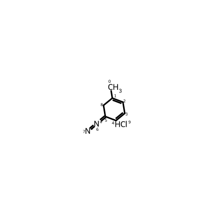 CC1=CC=CC(=[N+]=[N-])C1.Cl